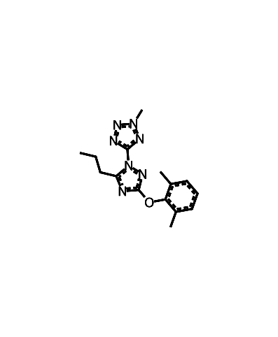 CCCc1nc(Oc2c(C)cccc2C)nn1-c1nnn(C)n1